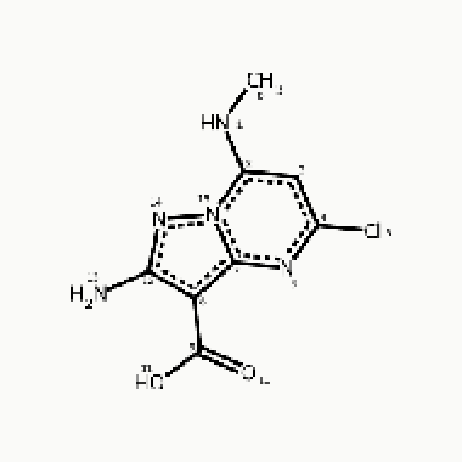 CNc1cc(Cl)nc2c(C(=O)O)c(N)nn12